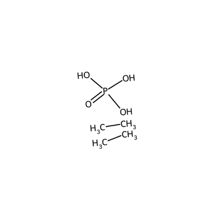 CC.CC.O=P(O)(O)O